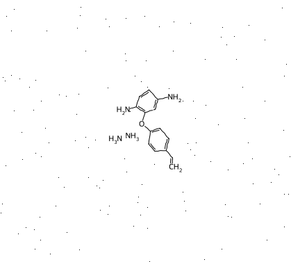 C=Cc1ccc(Oc2cc(N)ccc2N)cc1.N.N